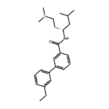 CCc1cccc(-c2cccc(C(=O)N[C@H](CCN(C)C)CC(C)C)c2)c1